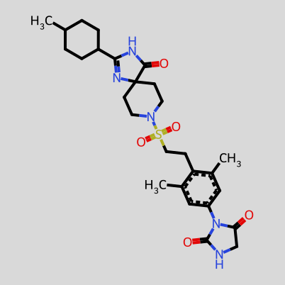 Cc1cc(N2C(=O)CNC2=O)cc(C)c1CCS(=O)(=O)N1CCC2(CC1)N=C(C1CCC(C)CC1)NC2=O